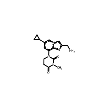 CN1C(=O)CCN(c2cc(C3CC3)cn3cc(CN)nc23)C1=O